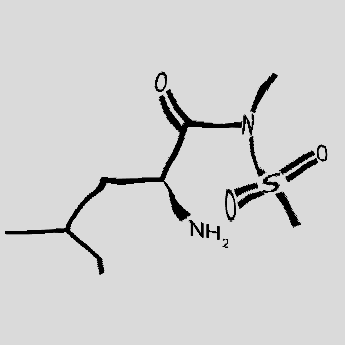 CC(C)C[C@H](N)C(=O)N(C)S(C)(=O)=O